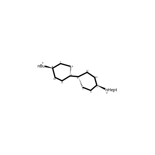 CCCCCCC[C@H]1CC[C@H]([C@H]2CC[C@H](CCCC)CC2)CC1